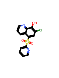 O=S(=O)(c1ccccn1)c1cc(Cl)c(O)c2ncccc12